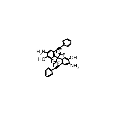 Nc1cc(C#Cc2ccccc2)c(C(c2cc(O)c(N)cc2C#Cc2ccccc2)(C(F)(F)F)C(F)(F)F)cc1O